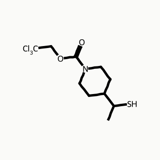 CC(S)C1CCN(C(=O)OCC(Cl)(Cl)Cl)CC1